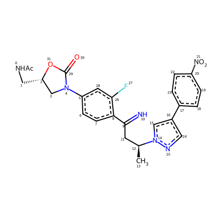 CC(=O)NC[C@H]1CN(c2ccc(C(=N)C[C@H](C)n3cc(-c4ccc([N+](=O)[O-])cc4)cn3)c(F)c2)C(=O)O1